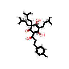 Cc1ccc(CCC(=O)C2=C(O)C(CCC(C)C)=C(O)C(CCC(C)C)(CCC(C)C)C2=O)cc1